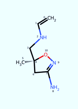 C=CNC[C@]1(C)CC(N)=NO1